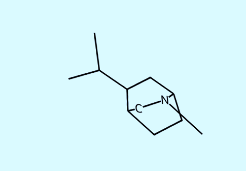 CC(C)C1CC2CCC1CN2C